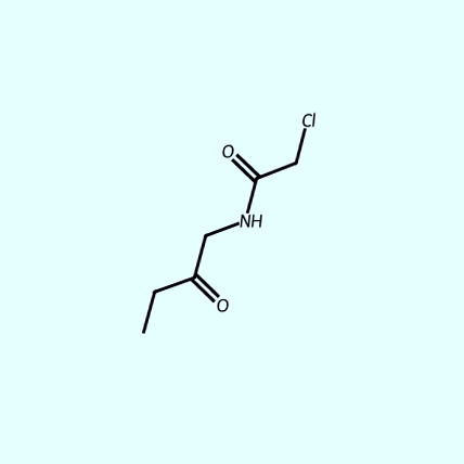 CCC(=O)CNC(=O)CCl